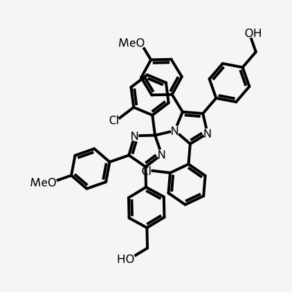 COc1ccc(C2=NC(c3ccccc3Cl)(n3c(-c4ccccc4Cl)nc(-c4ccc(CO)cc4)c3-c3ccc(OC)cc3)N=C2c2ccc(CO)cc2)cc1